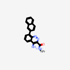 CCCNC(=O)c1nnc2c(-c3ccc4ccccc4c3)cccc2c1N